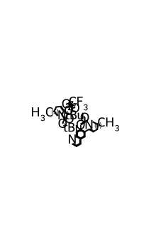 C[C@H]1CC=C(OS(=O)(=O)C(F)(F)F)N(C(=O)OC(C)(C)C)C1.C[C@H]1CC=C(c2ccc3ncccc3c2)N(C(=O)OC(C)(C)C)C1